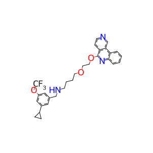 FC(F)(F)Oc1cc(CNCCCCOCCOc2nc3ccccc3c3cnccc23)cc(C2CC2)c1